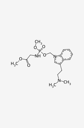 COC(=O)CNP(=O)(OC)OCn1cc(CCN(C)C)c2ccccc21